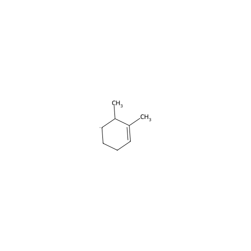 CC1=CCC[CH]C1C